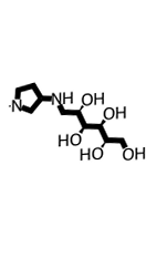 OC[C@H](O)[C@H](O)[C@@H](O)[C@@H](O)CNC1CC[N]C1